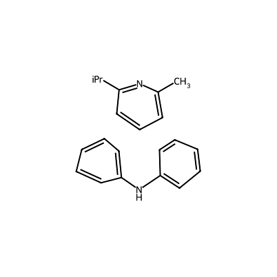 Cc1cccc(C(C)C)n1.c1ccc(Nc2ccccc2)cc1